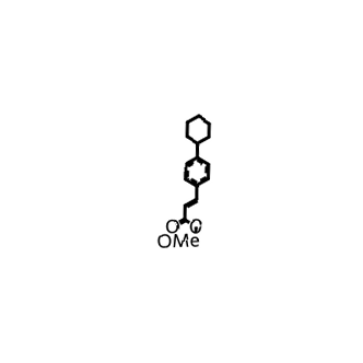 COOC(=O)C=Cc1ccc(C2CCCCC2)cc1